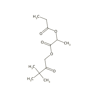 CCC(=O)OC(C)C(=O)OCC(=O)C(C)(C)C